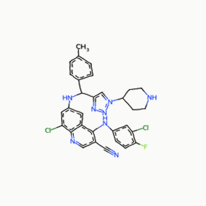 Cc1ccc(C(Nc2cc(Cl)c3ncc(C#N)c(Nc4ccc(F)c(Cl)c4)c3c2)c2cn(C3CCNCC3)nn2)cc1